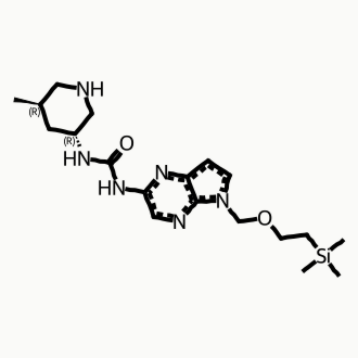 C[C@H]1CNC[C@H](NC(=O)Nc2cnc3c(ccn3COCC[Si](C)(C)C)n2)C1